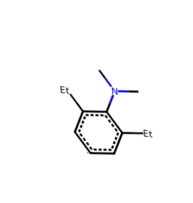 CCc1c[c]cc(CC)c1N(C)C